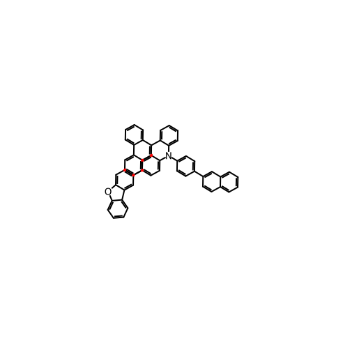 c1ccc(N(c2ccc(-c3ccc4ccccc4c3)cc2)c2ccc(-c3ccc4oc5ccccc5c4c3)cc2)c(-c2cc3ccccc3c3ccccc23)c1